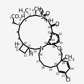 C[C@@H]1[C@@H](C)C[C@H](CC(=O)O)CC[C@@H]2CC[C@H]2CN2CCCCC3C=C(Cl)C=CC3(C)COc3ccc(cc32)C(=O)NS1(=O)=O